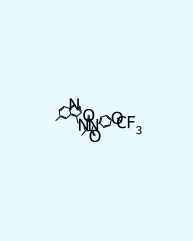 Cc1ccc2nccc(CN3C(=O)N(c4ccc(OC(F)(F)F)cc4)C(=O)C3C)c2c1